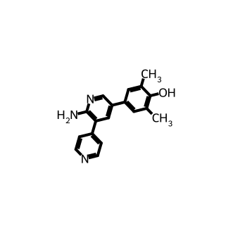 Cc1cc(-c2cnc(N)c(-c3ccncc3)c2)cc(C)c1O